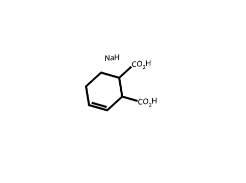 O=C(O)C1C=CCCC1C(=O)O.[NaH]